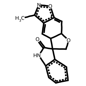 Cc1noc2c1=CC1C(C=2)OCC12C(=O)Nc1ccccc12